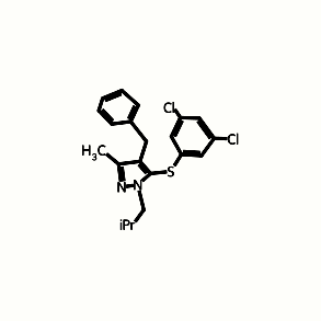 Cc1nn(CC(C)C)c(Sc2cc(Cl)cc(Cl)c2)c1Cc1ccccc1